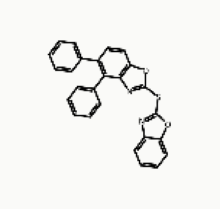 c1ccc(-c2ccc3oc(Sc4nc5ccccc5o4)nc3c2-c2ccccc2)cc1